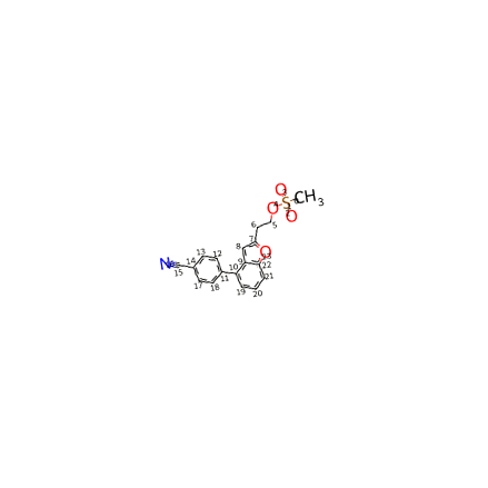 CS(=O)(=O)OCCc1cc2c(-c3ccc(C#N)cc3)cccc2o1